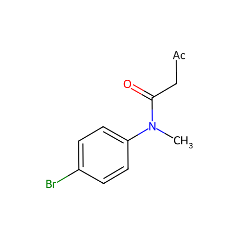 CC(=O)CC(=O)N(C)c1ccc(Br)cc1